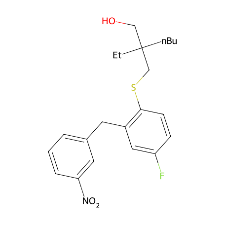 CCCCC(CC)(CO)CSc1ccc(F)cc1Cc1cccc([N+](=O)[O-])c1